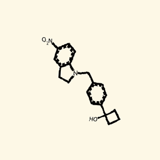 O=[N+]([O-])c1ccc2c(c1)CCN2Cc1ccc(C2(O)CCC2)cc1